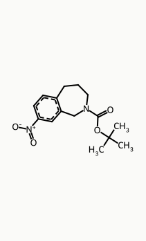 CC(C)(C)OC(=O)N1CCCc2ccc([N+](=O)[O-])cc2C1